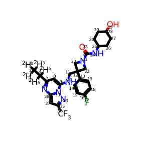 [2H]C([2H])([2H])C([2H])([2H])c1cc(NCC2(c3ccc(F)cc3)CN(C(=O)NC3CCC(O)CC3)C2)n2nc(C(F)(F)F)cc2n1